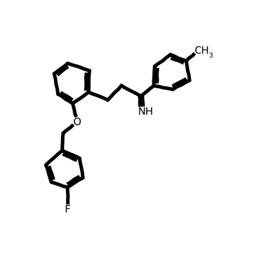 Cc1ccc(C(=N)CCc2ccccc2OCc2ccc(F)cc2)cc1